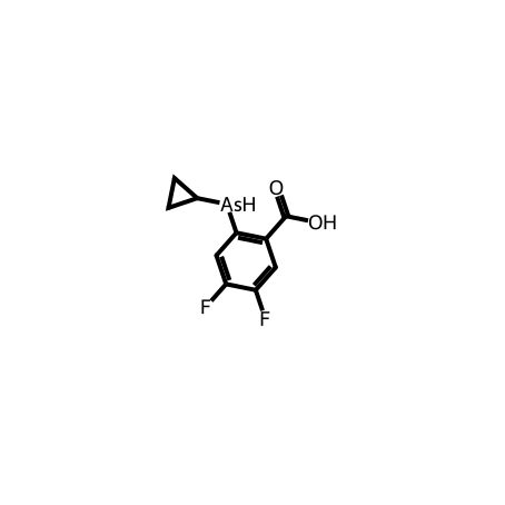 O=C(O)c1cc(F)c(F)cc1[AsH]C1CC1